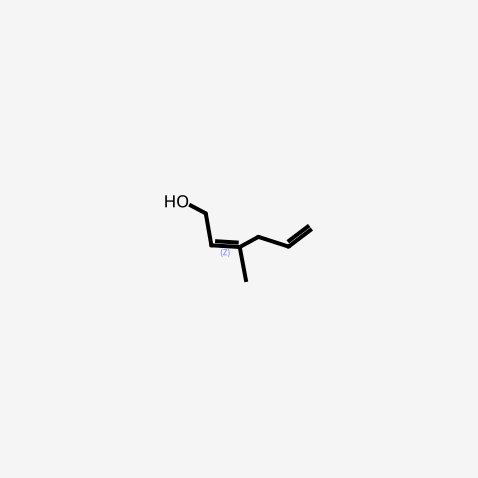 C=CC/C(C)=C\CO